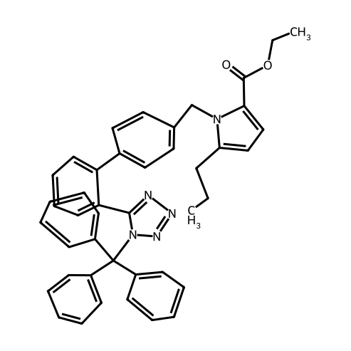 CCCc1ccc(C(=O)OCC)n1Cc1ccc(-c2ccccc2-c2nnnn2C(c2ccccc2)(c2ccccc2)c2ccccc2)cc1